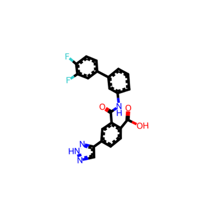 O=C(O)c1ccc(-c2cn[nH]n2)cc1C(=O)Nc1cccc(-c2ccc(F)c(F)c2)c1